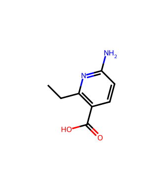 CCc1nc(N)ccc1C(=O)O